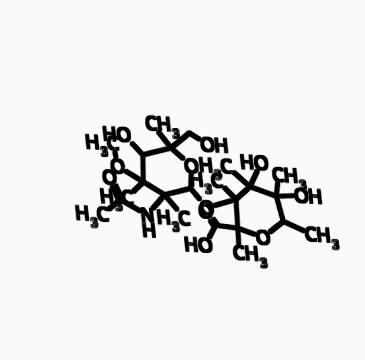 COC1(C)C(O)C(C)(CO)OC(OC2(C)C(C)(C(=O)O)OC(C)C(C)(O)C2(C)O)C1(C)NC(C)=O